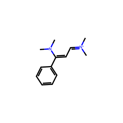 CN(C)C(=CC=[N+](C)C)c1ccccc1